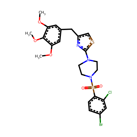 COc1cc(Cc2csc(N3CCN(S(=O)(=O)c4ccc(Br)cc4Cl)CC3)n2)cc(OC)c1OC